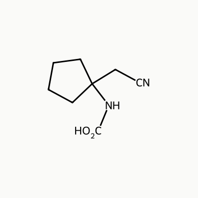 N#CCC1(NC(=O)O)CCCC1